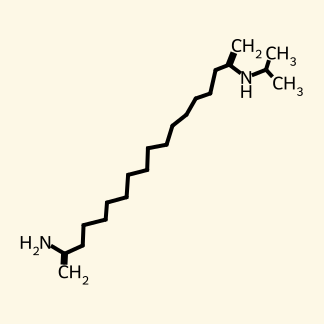 C=C(N)CCCCCCCCCCCCCCC(=C)NC(C)C